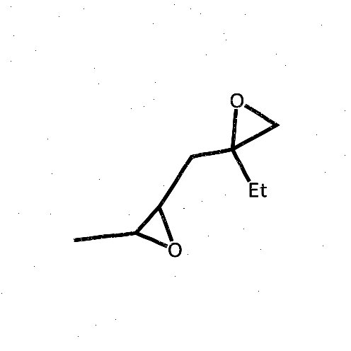 CCC1(CC2OC2C)CO1